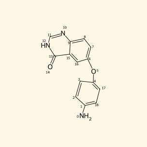 Nc1ccc(Oc2ccc3nc[nH]c(=O)c3c2)cc1